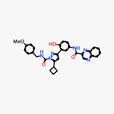 COc1ccc(CNC(=O)n2nc(-c3cc(NC(=O)c4cnc5ccccc5n4)ccc3O)cc2C2CCC2)cc1